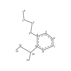 CCCCc1ccccc1C(C)CC